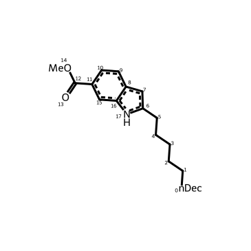 CCCCCCCCCCCCCCCc1cc2ccc(C(=O)OC)cc2[nH]1